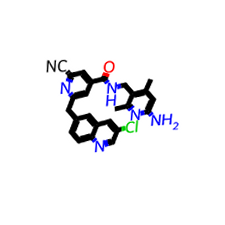 Cc1cc(N)nc(C)c1CNC(=O)c1cc(C#N)nc(Cc2ccc3ncc(Cl)cc3c2)c1